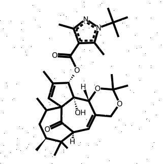 CC1=CC23C(=O)[C@@H](C=C4COC(C)(C)O[C@H]4[C@]2(O)[C@H]1OC(=O)c1c(C)nn(C(C)(C)C)c1C)C(C)(C)[C@@H](C)CC3C